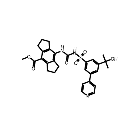 COC(=O)c1c2c(c(NC(=O)NS(=O)(=O)c3cc(-c4ccncc4)cc(C(C)(C)O)c3)c3c1CCC3)CCC2